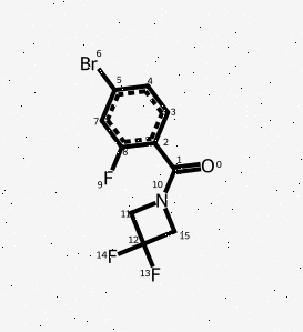 O=C(c1ccc(Br)cc1F)N1CC(F)(F)C1